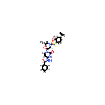 C=C(C)[C@@H]1CC[C@]2(C)S[P@@](N3C[C@@H](CC)O[C@@H](n4ccc(NC(=O)c5ccccc5)nc4=O)C3)O[C@H]2C1